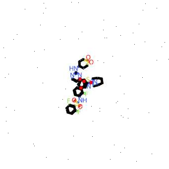 O=S1(=O)CCC(Nc2nccc(-c3sc(N4C5CCC4CN(c4ccccc4)C5)nc3-c3cccc(NS(=O)(=O)c4c(F)cccc4F)c3F)n2)CC1